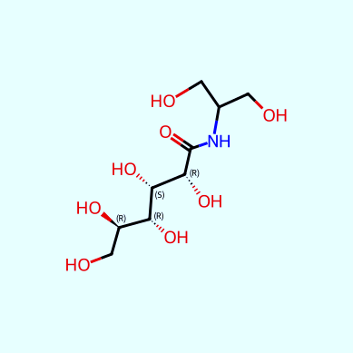 O=C(NC(CO)CO)[C@H](O)[C@@H](O)[C@H](O)[C@H](O)CO